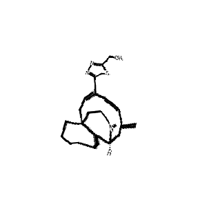 C=C1/C=C\C(c2nnc(CO)s2)=C/C[C@]23CCCCC2[C@H](C1)N(C)CC3